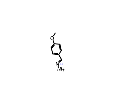 COc1ccc(/C=N/[NH])cc1